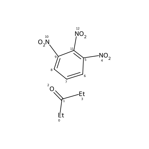 CCC(=O)CC.O=[N+]([O-])c1cccc([N+](=O)[O-])c1[N+](=O)[O-]